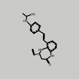 C=C[C@@H]1CC(=O)Nc2cccc(/C=C/c3ccc(NC(C)O)cc3)c2N1